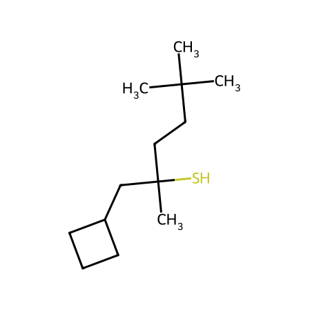 CC(C)(C)CCC(C)(S)CC1CCC1